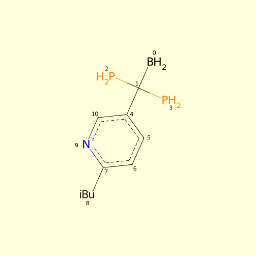 BC(P)(P)c1ccc(C(C)CC)nc1